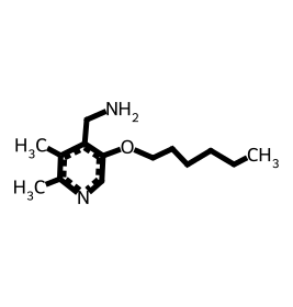 CCCCCCOc1cnc(C)c(C)c1CN